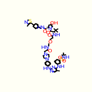 Cc1cnc(Nc2ccc(N3CCN(CC(=O)NCCOCCC(=O)N[C@H](C(=O)N4C[C@@H](O)C[C@H]4C(=O)NCc4ccc(-c5scnc5C)cc4)C(C)(C)C)CC3)cc2)nc1Nc1cccc(S(=O)(=O)NC(C)(C)C)c1